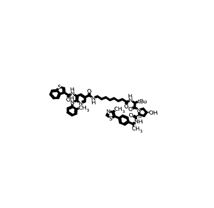 Cc1ccccc1Nc1ncc(C(=O)NCCCCCCCC(=O)NC(C(=O)N2C[C@H](O)C[C@H]2C(=O)N[C@@H](C)c2ccc(-c3scnc3C)cc2)C(C)(C)C)cc1NC(=O)c1csc2ccccc12